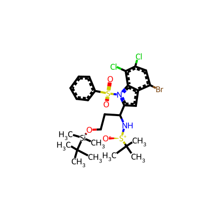 CC(C)(C)[S@@+]([O-])NC(CCO[Si](C)(C)C(C)(C)C)c1cc2c(Br)cc(Cl)c(Cl)c2n1S(=O)(=O)c1ccccc1